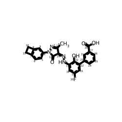 CC1=NN(c2ccc3c(c2)CC3)C(=O)C1=NNc1cc(F)cc(-c2cccc(C(=O)O)c2)c1O